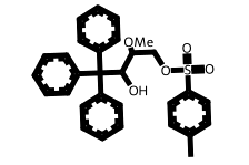 COC(COS(=O)(=O)c1ccc(C)cc1)C(O)C(c1ccccc1)(c1ccccc1)c1ccccc1